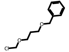 ClCOCCCOCc1ccccc1